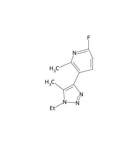 CCn1nnc(-c2ccc(F)nc2C)c1C